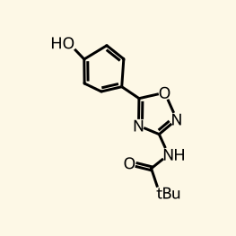 CC(C)(C)C(=O)Nc1noc(-c2ccc(O)cc2)n1